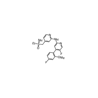 CCS(=N)(=O)Cc1ccnc(Nc2cc(-c3ccc(F)cc3OC)c(F)cn2)c1